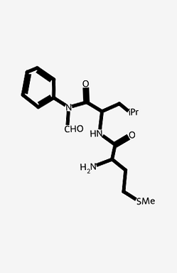 CSCCC(N)C(=O)NC(CC(C)C)C(=O)N(C=O)c1ccccc1